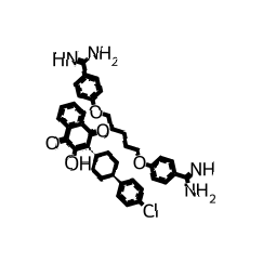 N=C(N)c1ccc(OCCCCCOc2ccc(C(=N)N)cc2)cc1.O=C1C(O)=C([C@H]2CC[C@H](c3ccc(Cl)cc3)CC2)C(=O)c2ccccc21